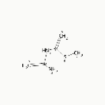 C=C(N)NC(=C)SC